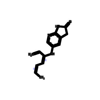 C=C/C(=C\C=C/C)Nc1cnc2c(c1)CC(=O)N2